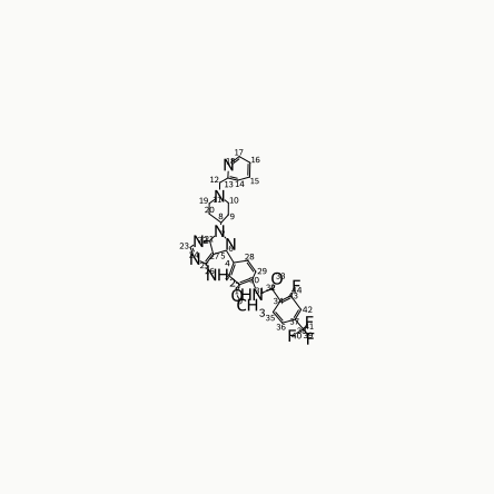 COc1cc(-c2nn(C3CCN(Cc4ccccn4)CC3)c3ncnc(N)c23)ccc1NC(=O)c1ccc(C(F)(F)F)cc1F